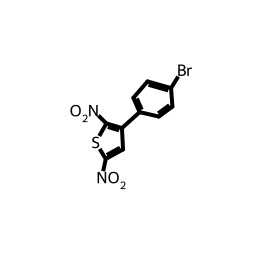 O=[N+]([O-])c1cc(-c2ccc(Br)cc2)c([N+](=O)[O-])s1